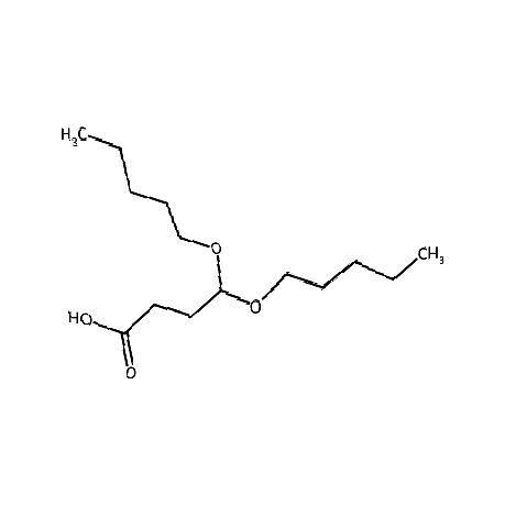 CCCCCOC(CCC(=O)O)OCCCCC